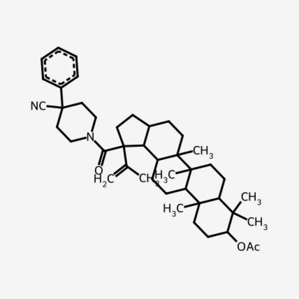 C=C(C)C1(C(=O)N2CCC(C#N)(c3ccccc3)CC2)CCC2CCC3(C)C(CCC4C5(C)CCC(OC(C)=O)C(C)(C)C5CCC43C)C21